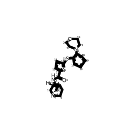 O=C(N[C@H]1CN2CCC1CC2)c1ccc(Sc2ccccc2N2CCOCC2)s1